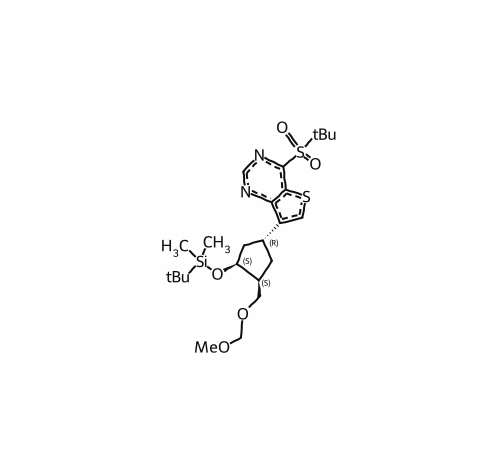 COCOC[C@@H]1C[C@@H](c2csc3c(S(=O)(=O)C(C)(C)C)ncnc23)C[C@@H]1O[Si](C)(C)C(C)(C)C